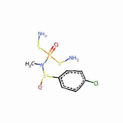 CN([S+]([O-])c1ccc(Cl)cc1)P(=O)(SN)SN